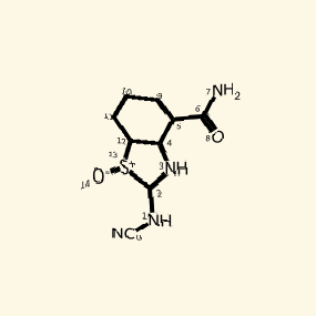 N#CNC1NC2C(C(N)=O)CCCC2[S+]1[O-]